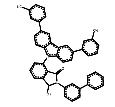 N#Cc1cccc(-c2ccc3c(c2)c2cc(-c4cccc(C#N)c4)ccc2n3-c2cccc3c2C(=O)N(c2cccc(-c4ccccc4)c2)C3O)c1